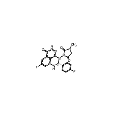 CN1CC(=O)N([C@@H]2c3n[nH]c(=O)c4cc(F)cc(c34)N[C@H]2c2ccc(F)cc2)C1=O